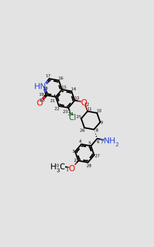 COc1ccc(C(N)[C@H]2CC[C@H](Oc3cc4cc[nH]c(=O)c4cc3Cl)CC2)cc1